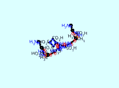 Cc1cc(OCCCC(=O)NCCNC(=O)[C@H](CS(=O)(=O)O)NC(=O)CC[C@H](NC(=O)CN2CCN(CC(=O)O)CCN(CC(=O)O)CCN(CC(=O)O)CC2)C(=O)N[C@@H](CS(=O)(=O)O)C(=O)NCCNC(=O)CCCOc2cc(C)c(S(=O)(=O)N[C@@H](CNC(=O)c3ccc(CCc4cccc(N)n4)cc3)C(=O)O)c(C)c2)cc(C)c1S(=O)(=O)N[C@@H](CNC(=O)c1ccc(CCc2cccc(N)n2)cc1)C(=O)O